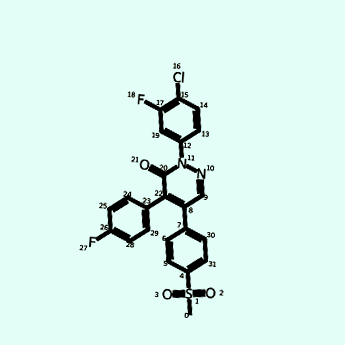 CS(=O)(=O)c1ccc(-c2cnn(-c3ccc(Cl)c(F)c3)c(=O)c2-c2ccc(F)cc2)cc1